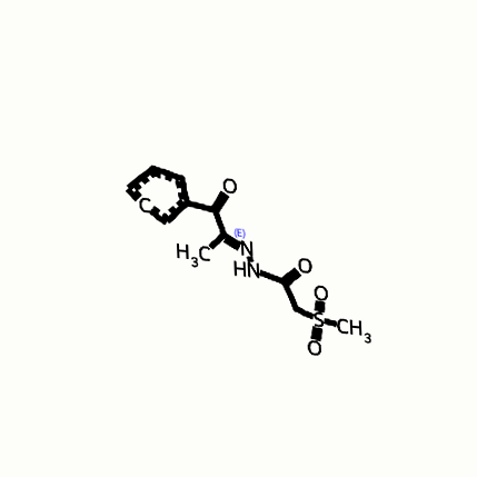 C/C(=N\NC(=O)CS(C)(=O)=O)C(=O)c1ccccc1